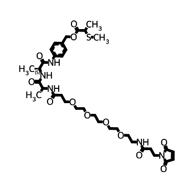 CSC(C)C(=O)OCc1ccc(NC(=O)[C@H](C)NC(=O)C(C)NC(=O)CCOCCOCCOCCOCCNC(=O)CCN2C(=O)C=CC2=O)cc1